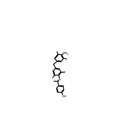 C/C(=N\c1c(C)cc(Cc2cc(C)c(N)c(C)c2)cc1C)c1ccc(O)cc1